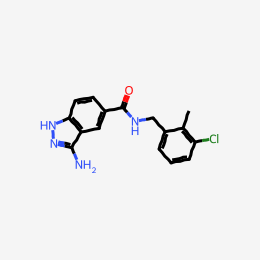 Cc1c(Cl)cccc1CNC(=O)c1ccc2[nH]nc(N)c2c1